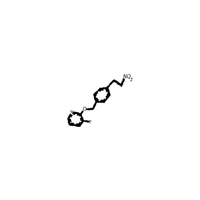 O=[N+]([O-])CCc1ccc(COc2ncccc2F)cc1